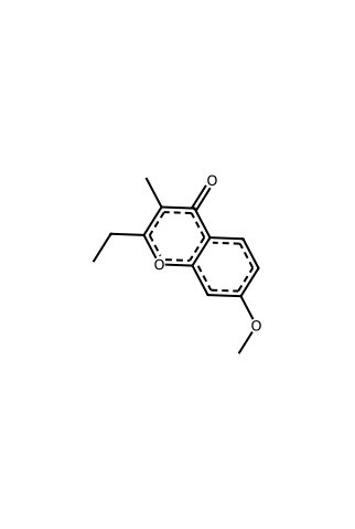 CCc1oc2cc(OC)ccc2c(=O)c1C